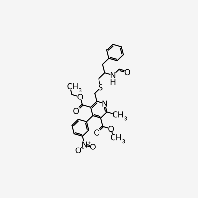 CCOC(=O)c1c(CSCC(Cc2ccccc2)NC=O)nc(C)c(C(=O)OC)c1-c1cccc([N+](=O)[O-])c1